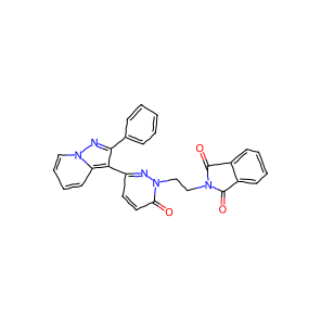 O=C1c2ccccc2C(=O)N1CCn1nc(-c2c(-c3ccccc3)nn3ccccc23)ccc1=O